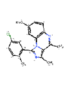 COc1ccc2nc(C)c3c(C)nc(-c4cc(Cl)ccc4C)n3c2c1